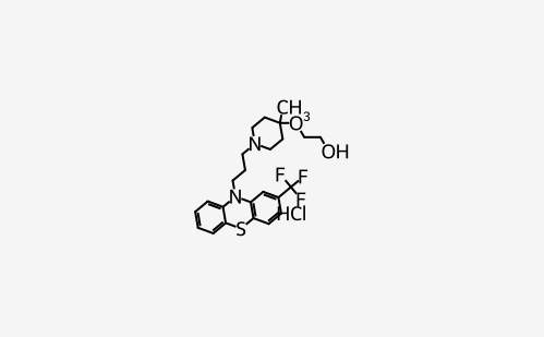 CC1(OCCO)CCN(CCCN2c3ccccc3Sc3ccc(C(F)(F)F)cc32)CC1.Cl